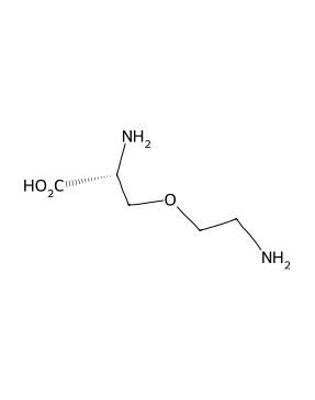 NCCOC[C@@H](N)C(=O)O